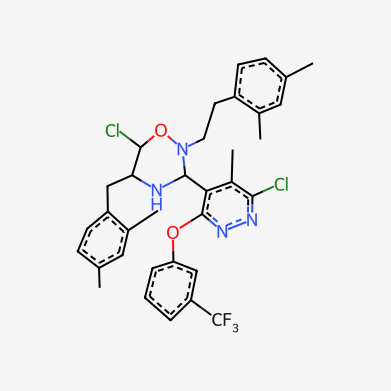 Cc1ccc(CCN2OC(Cl)C(Cc3ccc(C)cc3C)NC2c2c(Oc3cccc(C(F)(F)F)c3)nnc(Cl)c2C)c(C)c1